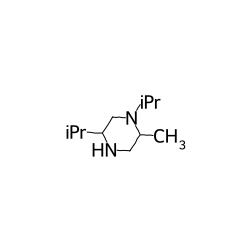 CC(C)C1CN(C(C)C)C(C)CN1